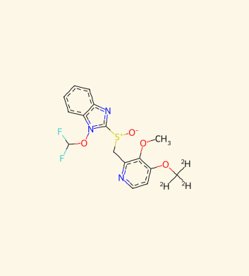 [2H]C([2H])([2H])Oc1ccnc(C[S+]([O-])c2nc3ccccc3n2OC(F)F)c1OC